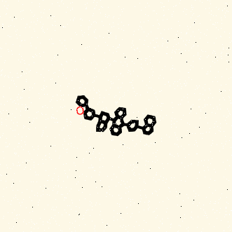 c1ccc2c(-c3ccc(-c4c5ccccc5c(-c5ccc(-c6ccc7oc8ccccc8c7c6)c6ccccc56)c5ccccc45)cc3)cccc2c1